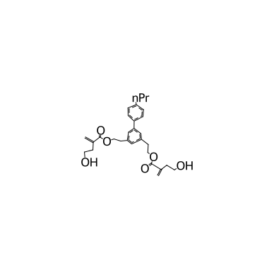 C=C(CCO)C(=O)OCCc1cc(CCOC(=O)C(=C)CCO)cc(-c2ccc(CCC)cc2)c1